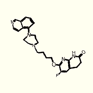 O=C1CCc2cc(F)c(OCCCCN3CCN(c4cccc5cnccc45)CC3)nc2N1